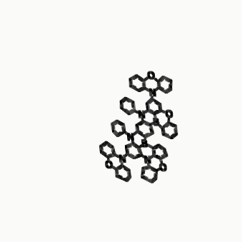 c1ccc(N2c3cc4c(cc3B3c5ccccc5Oc5cc(N6c7ccccc7Oc7ccccc76)cc2c53)B2c3cccc5c3N(c3ccccc3O5)c3cc(N5c6ccccc6Oc6ccccc65)cc(c32)N4c2ccccc2)cc1